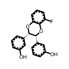 Oc1cccc([C@H]2Oc3c(F)cccc3O[C@H]2c2cccc(O)c2)c1